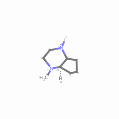 CN1CCN(I)C2CCC[C@H]21